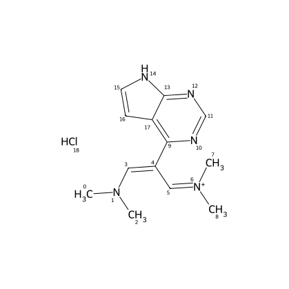 CN(C)/C=C(\C=[N+](C)C)c1ncnc2[nH]ccc12.Cl